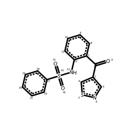 O=C(c1cnsc1)c1ccccc1NS(=O)(=O)c1ccccc1